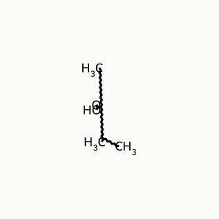 CCCCCCCCCCCCCCCCC(CCCCCCCCCCC=CC(C)CCCCCCC)C(=O)O